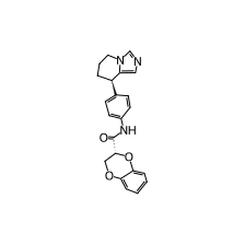 O=C(Nc1ccc([C@H]2CCCn3cncc32)cc1)[C@H]1COc2ccccc2O1